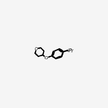 CC(C)c1ccc(OC2CCOCC2)cc1